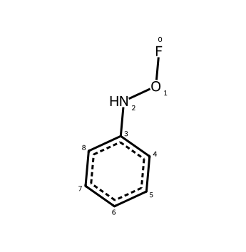 FONc1ccccc1